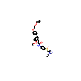 CCCOCCOc1ccc(-c2ccc(OCC)c(/C=C/C(O)Nc3ccc([S+]([O-])Cc4cncn4CCC)cc3)c2)cc1